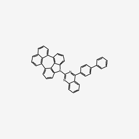 c1ccc(-c2ccc(-c3nc(-n4c5cccc6c5c5c(cccc54)-c4cccc5cccc-6c45)nc4ccccc34)cc2)cc1